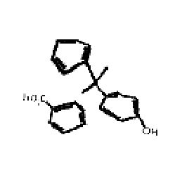 CC(C)(c1ccccc1)c1ccc(O)cc1.O=C(O)c1ccccc1